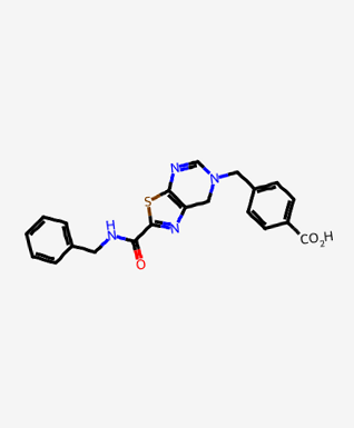 O=C(O)c1ccc(CN2C=Nc3sc(C(=O)NCc4ccccc4)nc3C2)cc1